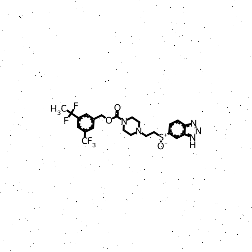 CC(F)(F)c1cc(COC(=O)N2CCN(CC[S+]([O-])c3ccc4nn[nH]c4c3)CC2)cc(C(F)(F)F)c1